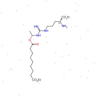 CCOC(=O)CCCCCCCC(=O)OC(C)NC(=N)NCCC[C@H](N)C(=O)O